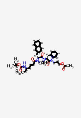 CCC(CC=CC(=O)N(C)[C@H](Cc1ccc2ccccc2c1)C(=O)N(C)[C@H](Cc1ccccc1)C(=O)NCCCOC(C)=O)NC(=O)OC(C)(C)C